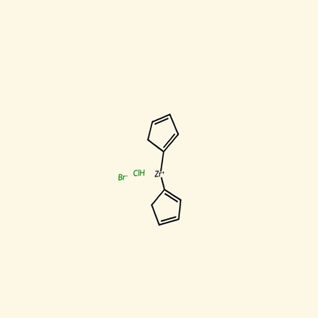 C1=CC[C]([Zr+][C]2=CC=CC2)=C1.Cl.[Br-]